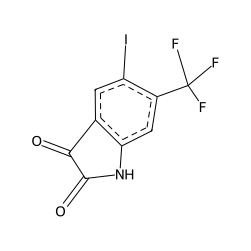 O=C1Nc2cc(C(F)(F)F)c(I)cc2C1=O